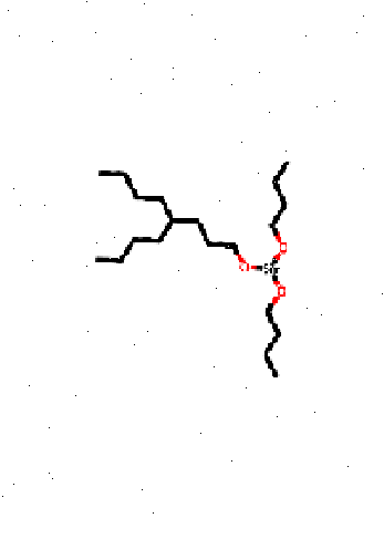 CCCC[O][Sn]([O]CCCC)[O]CCCC(CCCC)CCCC